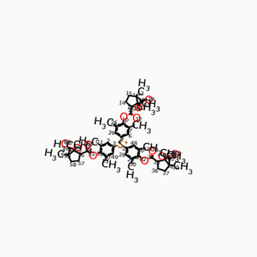 Cc1cc([S+](c2cc(C)c(OC(=O)C34CCC(C)(C(=O)O3)C4(C)C)c(C)c2)c2cc(C)c(OC(=O)C34CCC(C)(C(=O)O3)C4(C)C)c(C)c2)cc(C)c1OC(=O)C12CCC(C)(C(=O)O1)C2(C)C